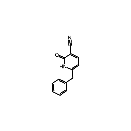 N#Cc1ccc(Cc2ccccc2)[nH]c1=O